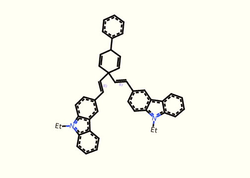 CCn1c2ccccc2c2cc(/C=C/C3(/C=C/c4ccc5c(c4)c4ccccc4n5CC)C=CC(c4ccccc4)C=C3)ccc21